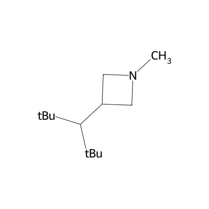 CN1CC(C(C(C)(C)C)C(C)(C)C)C1